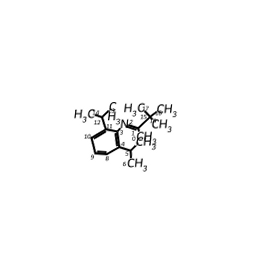 CC(=Nc1c(C(C)C)cccc1C(C)C)C(C)(C)C